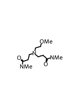 CNC(=O)CCN(CCOC)CCC(=O)NC